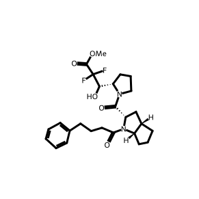 COC(=O)C(F)(F)C(O)[C@@H]1CCCN1C(=O)[C@@H]1C[C@@H]2CCC[C@@H]2N1C(=O)CCCc1ccccc1